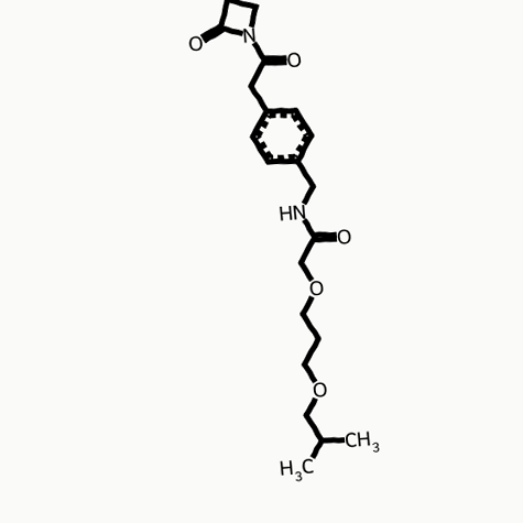 CC(C)COCCCOCC(=O)NCc1ccc(CC(=O)N2CCC2=O)cc1